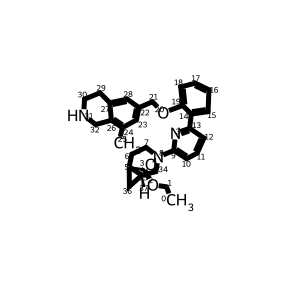 CCOC(=O)[C@@]12CCN(c3cccc(-c4ccccc4OCc4cc(C)c5c(c4)CCNC5)n3)C[C@@H]1C2